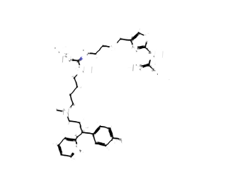 CN(CCCCN/C(=N\CCSCc1csc(NC(=N)N)n1)NC#N)CCC(c1ccc(Cl)cc1)c1ccccn1